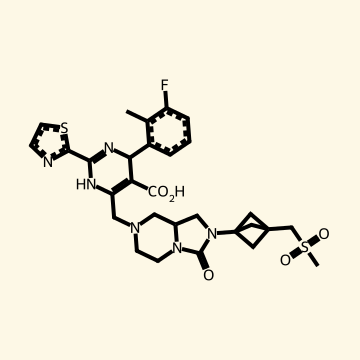 Cc1c(F)cccc1C1N=C(c2nccs2)NC(CN2CCN3C(=O)N(C45CC(CS(C)(=O)=O)(C4)C5)CC3C2)=C1C(=O)O